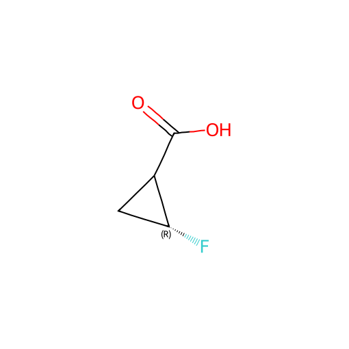 O=C(O)C1C[C@H]1F